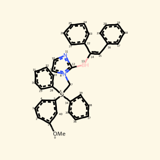 COc1cccc([Si](Cn2ccnc2BC(=Cc2ccccc2)c2ccccc2)(c2ccccc2)c2ccccc2)c1